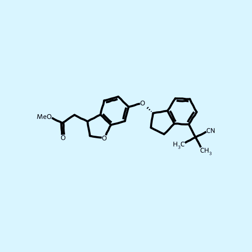 COC(=O)CC1COc2cc(O[C@H]3CCc4c3cccc4C(C)(C)C#N)ccc21